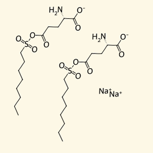 CCCCCCCCS(=O)(=O)OC(=O)CC[C@H](N)C(=O)[O-].CCCCCCCCS(=O)(=O)OC(=O)CC[C@H](N)C(=O)[O-].[Na+].[Na+]